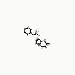 CCN(Cc1ccccc1)Cc1nnc2ccc(C)cn12